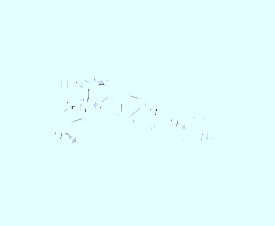 CN1CCC(N2CCN(c3ccc(-c4cnc(N)c(-n5cc(C(N)=O)cn5)n4)cc3)CC2)CC1